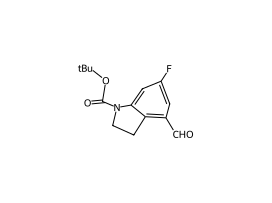 CC(C)(C)OC(=O)N1CCc2c(C=O)cc(F)cc21